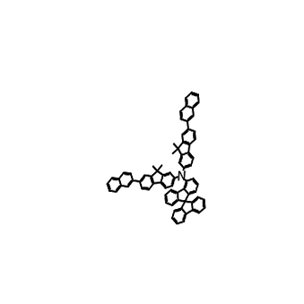 CC1(C)c2cc(-c3ccc4ccccc4c3)ccc2-c2ccc(N(c3ccc4c(c3)C(C)(C)c3cc(-c5ccc6ccccc6c5)ccc3-4)c3cccc4c3-c3ccccc3C43c4ccccc4-c4ccccc43)cc21